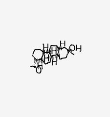 CC(=O)[C@@H]1CCC[C@H]2[C@@H]3CC[C@@H]4C[C@](C)(O)CC[C@@H]4[C@H]3CC[C@@H]21